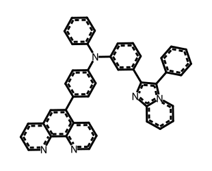 c1ccc(-c2c(-c3cccc(N(c4ccccc4)c4ccc(-c5cc6cccnc6c6ncccc56)cc4)c3)nc3ccccn23)cc1